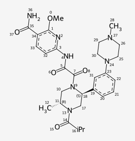 COc1nc(NC(=O)C(=O)N2C[C@@H](C)N(C(=O)C(C)C)C[C@@H]2c2cccc(N3CCN(C)CC3)c2)ccc1C(N)=O